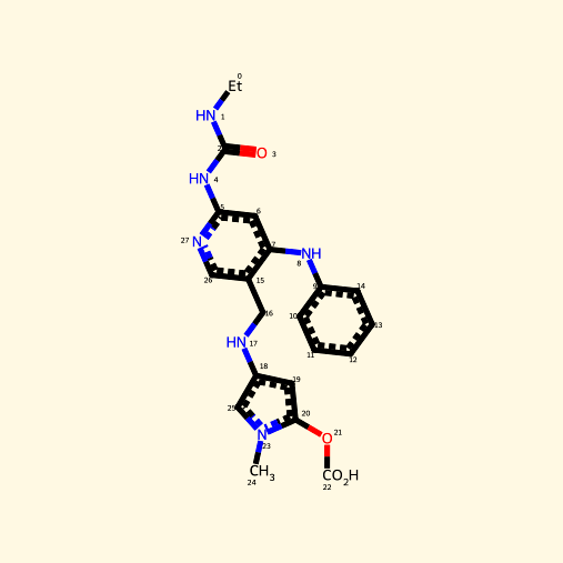 CCNC(=O)Nc1cc(Nc2ccccc2)c(CNc2cc(OC(=O)O)n(C)c2)cn1